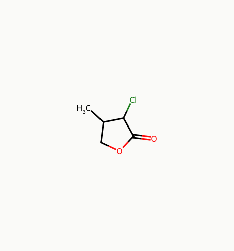 CC1COC(=O)C1Cl